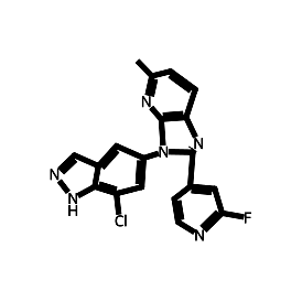 Cc1ccc2nc(-c3ccnc(F)c3)n(-c3cc(Cl)c4[nH]ncc4c3)c2n1